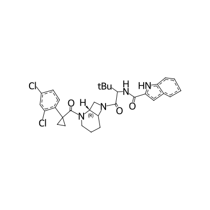 CC(C)(C)C(NC(=O)c1cc2ccccc2[nH]1)C(=O)N1C[C@@H]2C1CCCN2C(=O)C1(c2ccc(Cl)cc2Cl)CC1